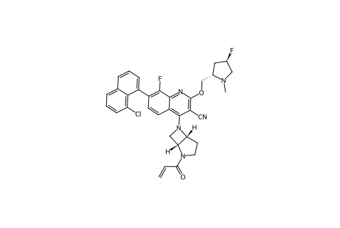 C=CC(=O)N1CC[C@@H]2[C@H]1CN2c1c(C#N)c(OC[C@@H]2C[C@@H](F)CN2C)nc2c(F)c(-c3cccc4cccc(Cl)c34)ccc12